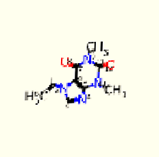 C=Cn1cnc2c1c(=O)n(C)c(=O)n2C